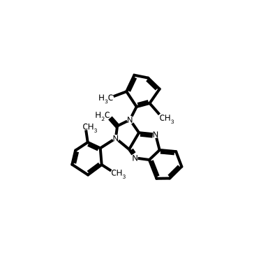 C=C1N(c2c(C)cccc2C)c2nc3ccccc3nc2N1c1c(C)cccc1C